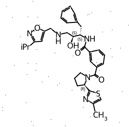 Cc1csc([C@H]2CCCN2C(=O)c2cccc(C(=O)N[C@@H](Cc3ccccc3)[C@@H](O)CNCc3cc(C(C)C)no3)c2)n1